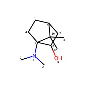 CN(C)C12CCC(CC1O)C2(C)C